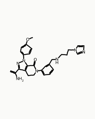 C=C(N)c1nn(-c2ccc(OC)cc2)c2c1CCN(c1cccc(CNCCCn3ccnc3)c1)C2=O